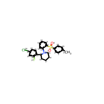 Cc1ccc(S(=O)(=O)c2ccccc2N2CCCCC2c2ccc(Cl)cc2F)cc1